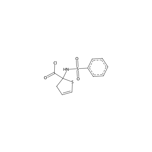 O=C(Cl)C1(NS(=O)(=O)c2ccccc2)CC=CS1